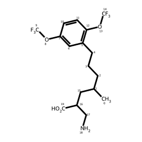 CC(CCCc1cc(OC(F)(F)F)ccc1OC(F)(F)F)CC(CN)C(=O)O